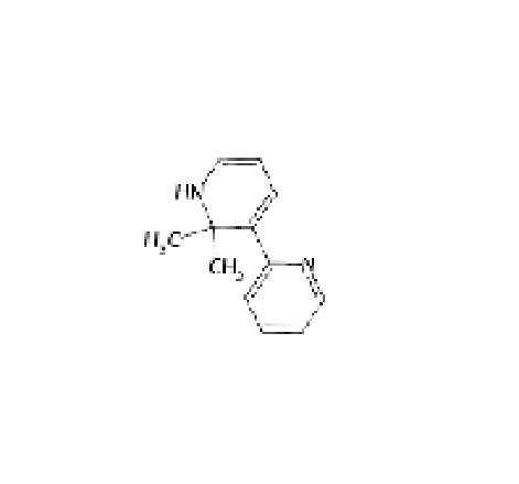 CC1(C)NC=CC=C1c1ccccn1